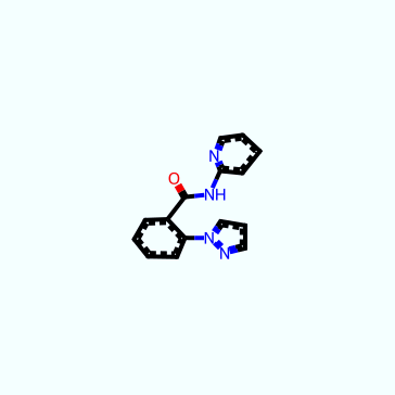 O=C(Nc1ccccn1)c1ccccc1-n1cccn1